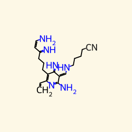 C=CC1=C(CCCC(=N)/C=C\N)C(=N)/C(=C\NCCCCC#N)C(N)=N1